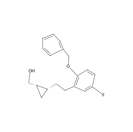 OC[C@H]1C[C@H]1CCc1cc(F)ccc1OCc1ccccc1